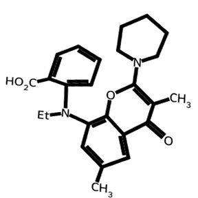 CCN(c1ccccc1C(=O)O)c1cc(C)cc2c(=O)c(C)c(N3CCCCC3)oc12